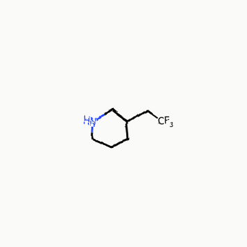 FC(F)(F)CC1CCCNC1